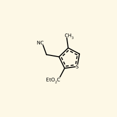 CCOC(=O)c1scc(C)c1CC#N